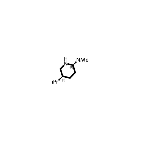 CN[C@H]1CC[C@@H](C(C)C)CN1